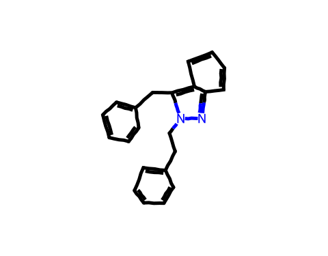 c1ccc(CCn2nc3ccccc3c2Cc2ccccc2)cc1